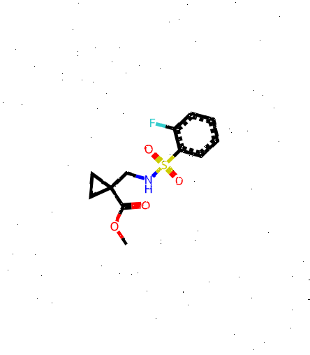 COC(=O)C1(CNS(=O)(=O)c2ccccc2F)CC1